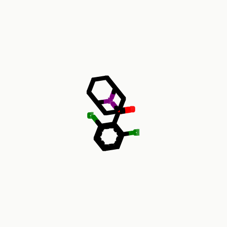 O=C(c1c(Cl)cccc1Cl)P1C2CCCC1CCC2